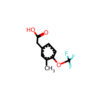 Cc1cc(CC(=O)O)ccc1OC(F)(F)F